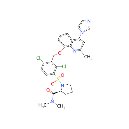 Cc1cc(-n2ccnc2)c2cccc(OCc3c(Cl)ccc(S(=O)(=O)N4CCC[C@H]4C(=O)N(C)C)c3Cl)c2n1